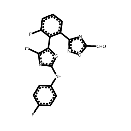 O=Cc1nc(-c2cccc(F)c2-c2sc(Nc3ccc(F)cc3)nc2Cl)no1